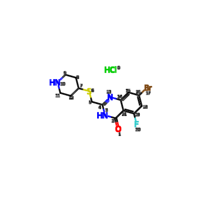 Cl.O=c1[nH]c(CSC2CCNCC2)nc2cc(Br)cc(F)c12